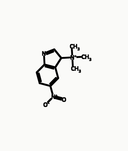 C[N+](C)(C)C1C=Nc2ccc([N+](=O)[O-])cc21